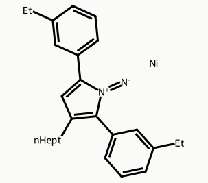 CCCCCCCC1=C(c2cccc(CC)c2)[N+](=[N-])C(c2cccc(CC)c2)=C1.[Ni]